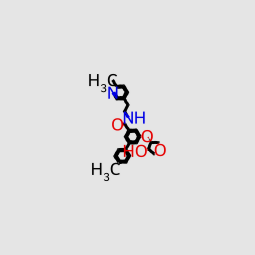 Cc1ccc(-c2cc(O[C@@H]3COCC3O)cc(C(=O)NCCc3ccc(C)nc3)c2)cc1